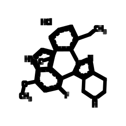 CCc1cccc(CC)c1-n1nc2c(c1-c1c(F)cc(OC)c3[nH]ccc13)CNCC2.Cl